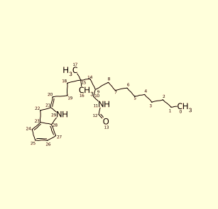 CCCCCCCCCC(CNC=O)CC(C)(C)CCC=C1Cc2ccccc2N1